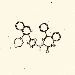 O=C1Nc2ccccc2C(c2ccccc2)=N[C@@H]1Nc1nnc(-c2ncc3ccccc3c2N2CCOCC2)o1